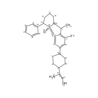 CC(c1ccc(N2CCC(C(N)=NO)CC2)cc1F)N1CCCC(c2ccccc2)S1(=O)=O